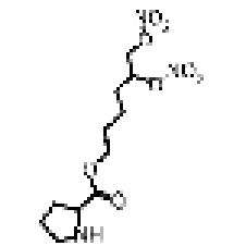 O=C(OCCCCC(CO[N+](=O)[O-])O[N+](=O)[O-])C1CCCN1